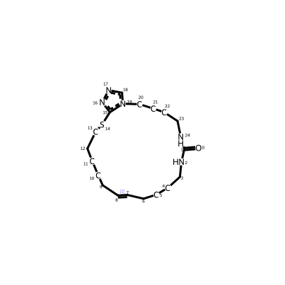 O=C1NCCCC/C=C\CCCCCSc2nncn2CCCCN1